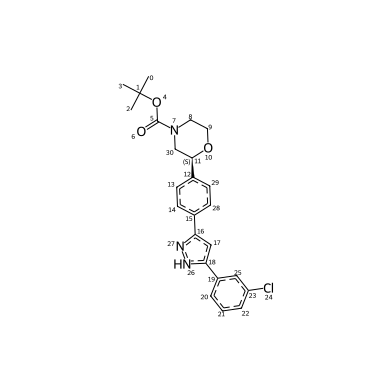 CC(C)(C)OC(=O)N1CCO[C@@H](c2ccc(-c3cc(-c4cccc(Cl)c4)[nH]n3)cc2)C1